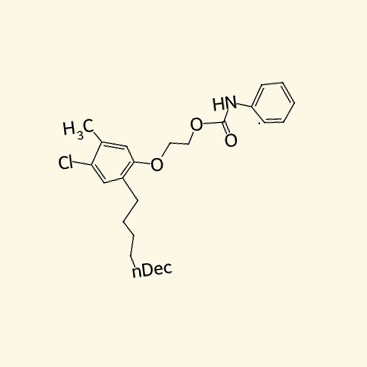 CCCCCCCCCCCCCCc1cc(Cl)c(C)cc1OCCOC(=O)Nc1[c]cccc1